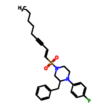 CCCCCC#C/C=C/S(=O)(=O)N1CCN(c2ccc(F)cc2)C(Cc2ccccc2)C1